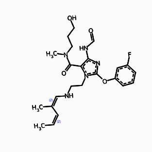 C/C=C\C(C)=C/NCCn1c(Oc2cccc(F)c2)nc(NC=O)c1C(=O)N(C)CCCO